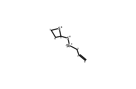 C=C[CH2][Sb][S]C1CCS1